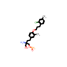 NC(CO)(CCc1ccc(OCCCc2ccc(C(F)(F)F)cc2Cl)c(C(F)(F)F)c1)CO[PH2]=O